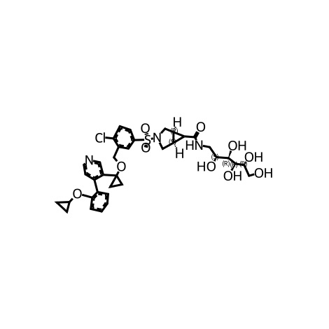 O=C(NC[C@H](O)[C@@H](O)[C@H](O)[C@H](O)CO)C1[C@H]2CN(S(=O)(=O)c3ccc(Cl)c(COC4(c5cnccc5-c5ccccc5OC5CC5)CC4)c3)C[C@@H]12